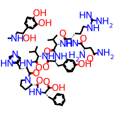 CC(C)[C@H](NC(=O)[C@H](CCCNC(=N)N)NC(=O)[C@@H](N)CC(N)=O)C(=O)N[C@@H](Cc1ccc(O)cc1)C(=O)N[C@H](C(=O)N[C@@H](Cc1cnc[nH]1)C(=O)N1CCC[C@H]1C(=O)N[C@@H](Cc1ccccc1)C(=O)O)C(C)C.CNC[C@H](O)c1ccc(O)c(O)c1